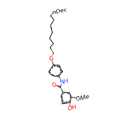 CCCCCCCCCCCCCCCCCCOc1ccc(NC(=O)c2ccc(O)c(OC)c2)cc1